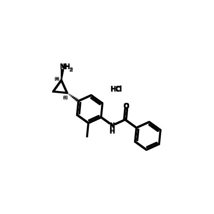 Cc1cc([C@@H]2C[C@H]2N)ccc1NC(=O)c1ccccc1.Cl